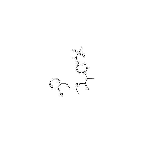 CC(COc1ccccc1Cl)NC(=O)C(C)c1ccc(NS(C)(=O)=O)cc1